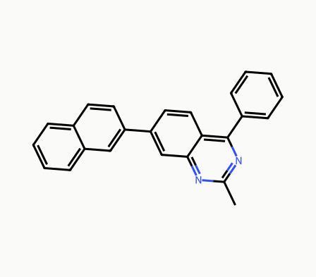 Cc1nc(-c2ccccc2)c2ccc(-c3ccc4ccccc4c3)cc2n1